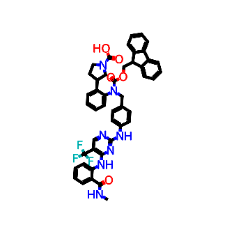 CNC(=O)c1ccccc1Nc1nc(Nc2ccc(CN(C(=O)OCC3c4ccccc4-c4ccccc43)c3ccccc3C3CCN(C(=O)O)C3)cc2)ncc1C(F)(F)F